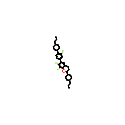 CCCC1CCC(c2ccc(-c3cc4c(c(F)c3F)OC(C3CCC(CCC)CC3)CC4)cc2F)CC1